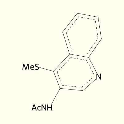 CSc1c(NC(C)=O)cnc2ccccc12